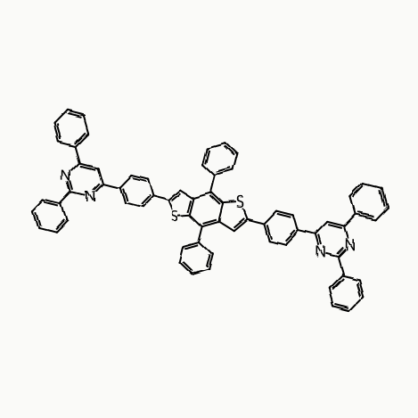 c1ccc(-c2cc(-c3ccc(-c4cc5c(-c6ccccc6)c6sc(-c7ccc(-c8cc(-c9ccccc9)nc(-c9ccccc9)n8)cc7)cc6c(-c6ccccc6)c5s4)cc3)nc(-c3ccccc3)n2)cc1